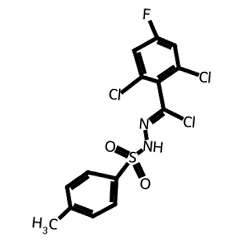 Cc1ccc(S(=O)(=O)NN=C(Cl)c2c(Cl)cc(F)cc2Cl)cc1